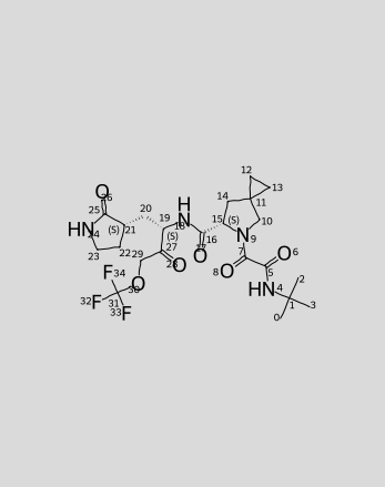 CC(C)(C)NC(=O)C(=O)N1CC2(CC2)C[C@H]1C(=O)N[C@@H](C[C@@H]1CCNC1=O)C(=O)COC(F)(F)F